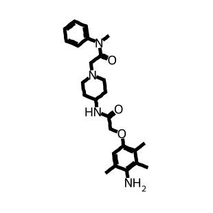 Cc1cc(OCC(=O)NC2CCN(CC(=O)N(C)c3ccccc3)CC2)c(C)c(C)c1N